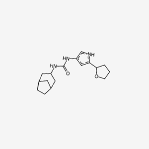 O=C(Nc1c[nH]c(C2CCCO2)c1)NC1CC2CCC(C2)C1